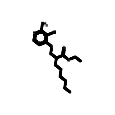 CCCCCCC(CSc1ccnc(N)c1Cl)C(=O)OCC